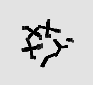 C=COC(C)=O.O=P(O)(O)OP(=O)(O)OP(=O)(O)O.[AlH3]